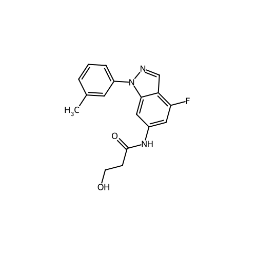 Cc1cccc(-n2ncc3c(F)cc(NC(=O)CCO)cc32)c1